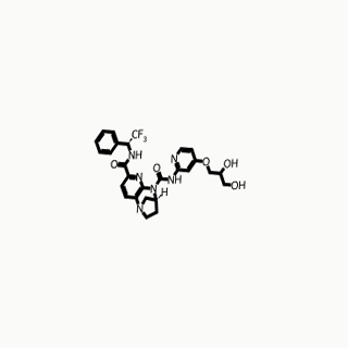 O=C(N[C@H](c1ccccc1)C(F)(F)F)c1ccc2c(n1)N(C(=O)Nc1cc(OCC(O)CO)ccn1)[C@H]1CCN2C1